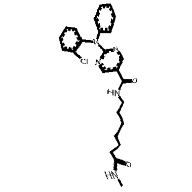 CNC(=O)CCCCCCNC(=O)c1cnc(N(c2ccccc2)c2ccccc2Cl)nc1